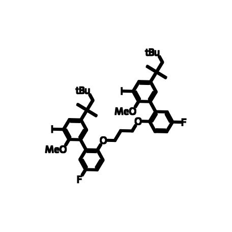 COc1c(I)cc(C(C)(C)CC(C)(C)C)cc1-c1cc(F)ccc1OCCCOc1ccc(F)cc1-c1cc(C(C)(C)CC(C)(C)C)cc(I)c1OC